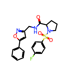 O=C(NCc1cc(-c2ccccc2)on1)C1CCCN1S(=O)(=O)c1ccc(F)cc1